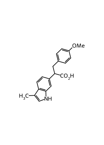 COc1ccc(CC(C(=O)O)c2ccc3c(C)c[nH]c3c2)cc1